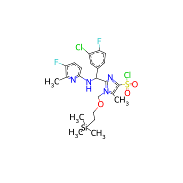 Cc1nc(NC(c2ccc(F)c(Cl)c2)c2nc(S(=O)(=O)Cl)c(C)n2COCC[Si](C)(C)C)ccc1F